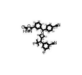 CC(C)(F)C(c1cc(F)cc(C#N)c1)C1CN(C(c2ccc(C#N)cc2)c2cccc(-c3n[nH]c(=O)o3)c2)C1